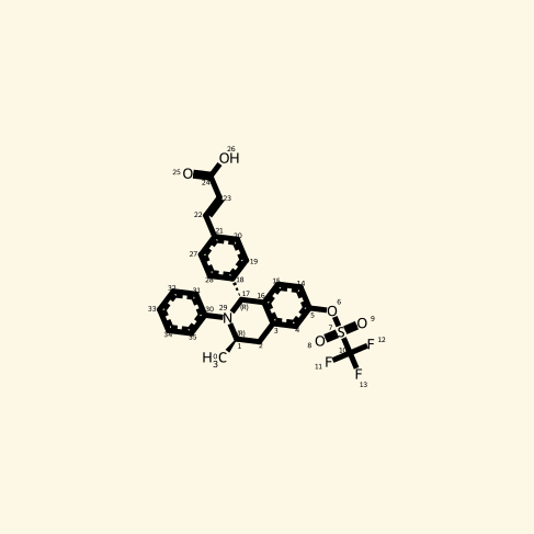 C[C@@H]1Cc2cc(OS(=O)(=O)C(F)(F)F)ccc2[C@@H](c2ccc(C=CC(=O)O)cc2)N1c1ccccc1